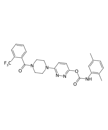 Cc1ccc(C)c(NC(=O)Oc2ccc(N3CCN(C(=O)c4ccccc4C(F)(F)F)CC3)nn2)c1